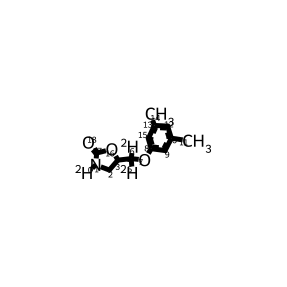 [2H]N1CC(C([2H])([2H])Oc2cc(C)cc(C)c2)OC1=O